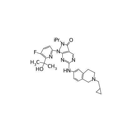 CC(C)n1c(=O)c2cnc(Nc3ccc4c(c3)CCN(CC3CC3)C4)nc2n1-c1ccc(F)c(C(C)(C)O)n1